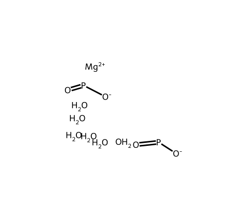 O.O.O.O.O.O.O=P[O-].O=P[O-].[Mg+2]